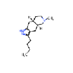 CCCCc1n[nH]c2c1C[C@@H]1CN(C)CC[C@H]1C2